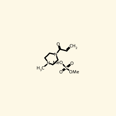 C=CC(=O)N1CCN(C)CC1.COS(=O)(=O)OC